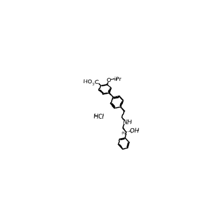 CC(C)Oc1cc(-c2ccc(CCNC[C@H](O)c3ccccc3)cc2)ccc1C(=O)O.Cl